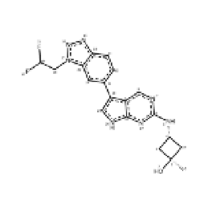 C[C@]1(O)C[C@H](Nc2ncc3c(-c4ccc5nnn(CC(F)F)c5c4)c[nH]c3n2)C1